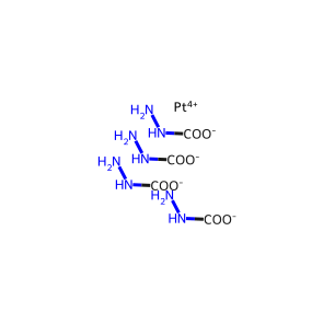 NNC(=O)[O-].NNC(=O)[O-].NNC(=O)[O-].NNC(=O)[O-].[Pt+4]